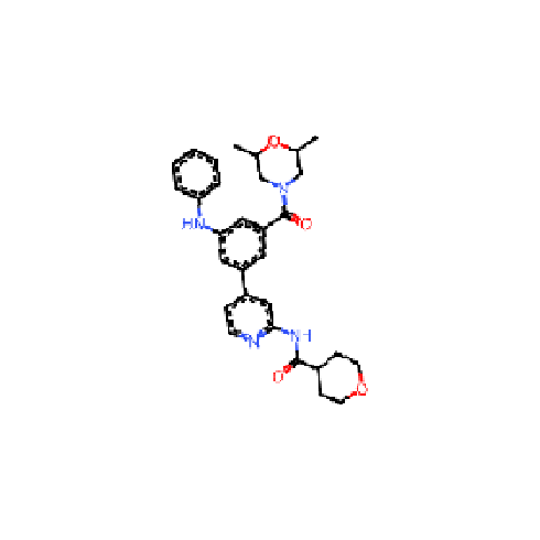 CC1CN(C(=O)c2cc(Nc3ccccc3)cc(-c3ccnc(NC(=O)C4CCOCC4)c3)c2)CC(C)O1